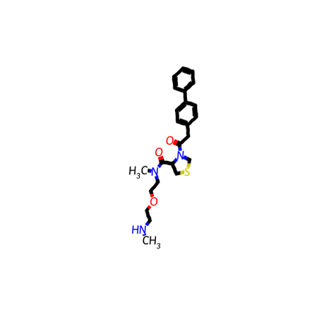 CNCCOCCN(C)C(=O)C1CSCN1C(=O)Cc1ccc(-c2ccccc2)cc1